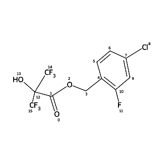 O=C(OCc1ccc(Cl)cc1F)C(O)(C(F)(F)F)C(F)(F)F